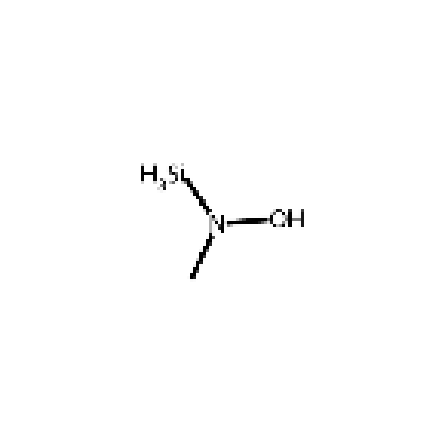 CN(O)[SiH3]